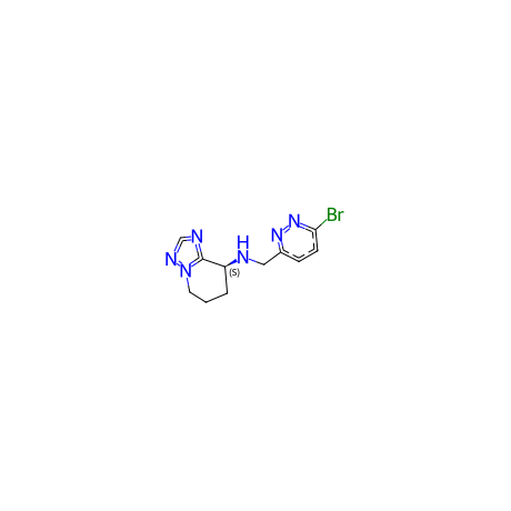 Brc1ccc(CN[C@H]2CCCn3ncnc32)nn1